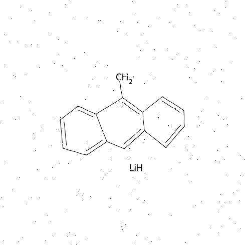 [CH2]c1c2ccccc2cc2ccccc12.[LiH]